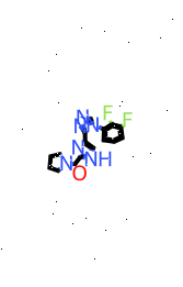 O=C(c1nc(-c2nncn2-c2cccc(F)c2F)c[nH]1)N1CCCC1